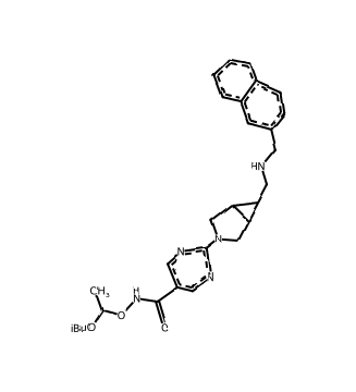 CC(C)COC(C)ONC(=O)c1cnc(N2CC3C(CNCc4ccc5ccccc5c4)C3C2)nc1